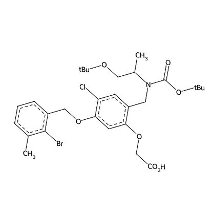 Cc1cccc(COc2cc(OCC(=O)O)c(CN(C(=O)OC(C)(C)C)C(C)COC(C)(C)C)cc2Cl)c1Br